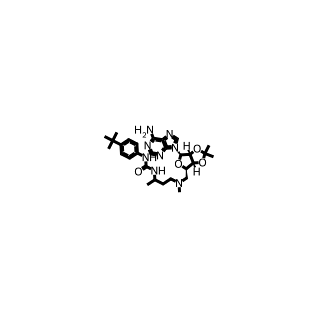 CC(CCN(C)C[C@H]1O[C@@H](n2cnc3c(N)ncnc32)[C@@H]2OC(C)(C)O[C@@H]21)NC(=O)Nc1ccc(C(C)(C)C)cc1